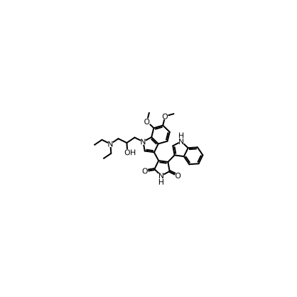 CCN(CC)CC(O)Cn1cc(C2=C(c3c[nH]c4ccccc34)C(=O)NC2=O)c2ccc(OC)c(OC)c21